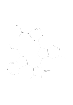 COC(=O)c1cncc(N2CC(C3=C(c4nn(CCO)c5ccccc45)C(=O)NC3=O)c3cc(Cl)ccc32)c1